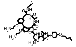 CCCCCOC1CCN(c2nc(C)c(C(=O)NC(CCN)C(=O)N(C)C3C(=O)NC(C)C(=O)NC(C(=O)NCC#N)Cc4ccc(OCCN)c(c4)-c4cc3ccc4OCCN)c(C)n2)CC1